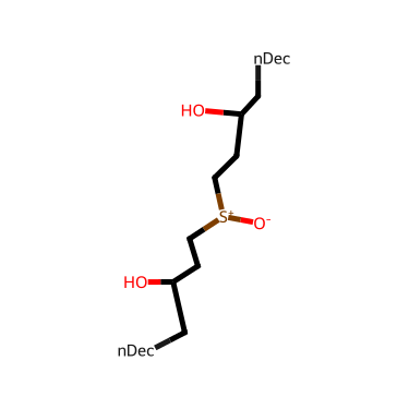 CCCCCCCCCCCC(O)CC[S+]([O-])CCC(O)CCCCCCCCCCC